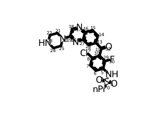 CCCS(=O)(=O)Nc1ccc(Cl)c(C(=O)c2ccc3ncc(N4CCNCC4)nc3c2)c1F